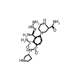 NN/N=C(\N)c1c(N2CCNC(C(N)=O)C2)ccc([S+]([O-])N[C@@H]2CCNC2)c1[S+](N)[O-]